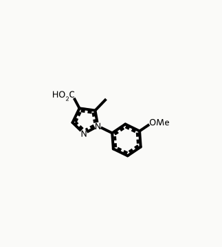 COc1cccc(-n2ncc(C(=O)O)c2C)c1